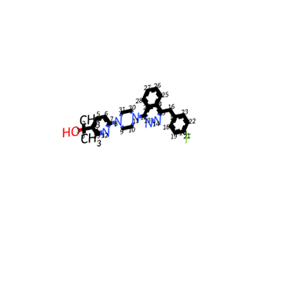 CC(C)(O)c1ccc(N2CCN(c3nnc(Cc4ccc(F)cc4)c4ccccc34)CC2)nc1